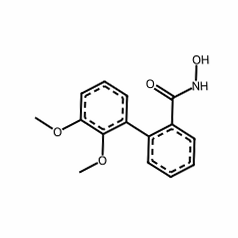 COc1cccc(-c2ccccc2C(=O)NO)c1OC